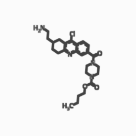 CCCCOC(=O)N1CCN(C(=O)c2ccc3c(Cl)c4c(nc3c2)CCC(CCN)C4)CC1